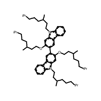 CC(C)CCCC(C)CCOc1[c]c2c(cc1-c1cc3c4ccccc4n(CCC(C)CCCC(C)C)c3[c]c1OCCC(C)CCCC(C)C)c1ccccc1n2CCC(C)CCCC(C)C